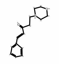 O=C(/C=C/c1ccccc1)CCN1CCOCC1